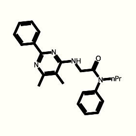 CCCN(C(=O)CNc1nc(-c2ccccc2)nc(C)c1C)c1ccccc1